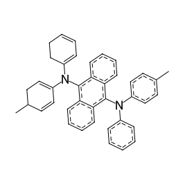 Cc1ccc(N(c2ccccc2)c2c3ccccc3c(N(C3=CCC(C)C=C3)C3=CC=CCC3)c3ccccc23)cc1